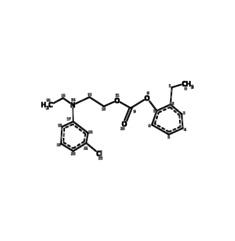 CCc1ccccc1OC(=O)OCCN(CC)c1cccc(Cl)c1